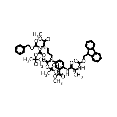 COC(=O)c1cc(N(CCC[C@@H](C(=O)OC)N(C(=O)OCc2ccccc2)C(=O)OC(C)(C)C)C(=O)OC(C)(C)C)ccc1NC(=O)[C@H](C)NC(=O)OCC1c2ccccc2-c2ccccc21